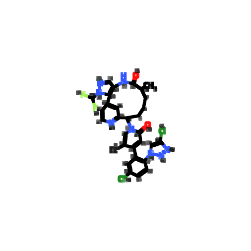 CCc1cn(C2CCCC(C)C(=O)Nc3cnn(C(F)F)c3-c3ccnc2c3)c(=O)cc1-c1cc(Cl)ccc1-n1cc(Cl)nn1